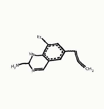 C=C=Cc1cc2c(c(CC)c1)NC(N)N=C2